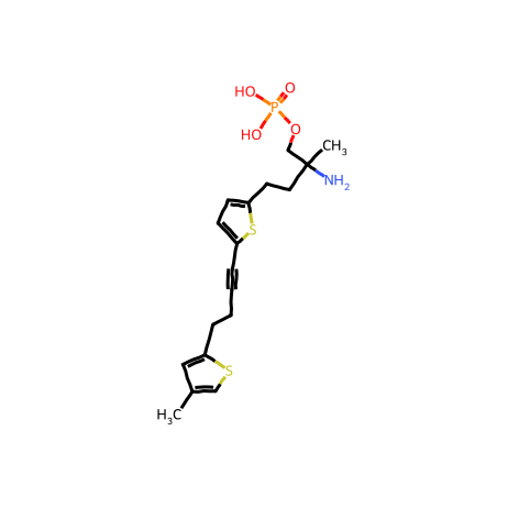 Cc1csc(CCC#Cc2ccc(CCC(C)(N)COP(=O)(O)O)s2)c1